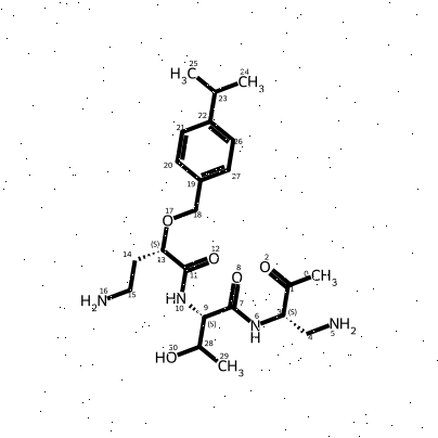 CC(=O)[C@H](CN)NC(=O)[C@@H](NC(=O)[C@H](CCN)OCc1ccc(C(C)C)cc1)C(C)O